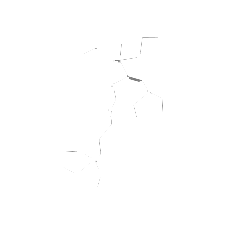 CCO[Si](C)(OCC)C(=CN(CC)CC)[SiH2]CNCCC[Si](OC)(OC)OC